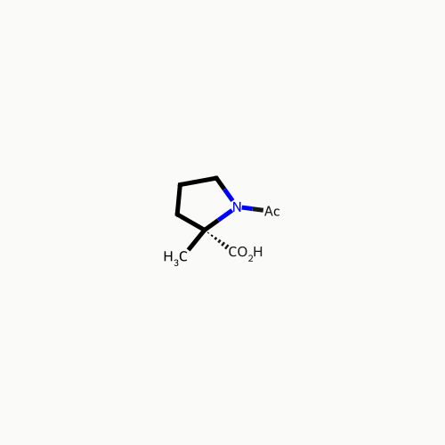 CC(=O)N1CCC[C@@]1(C)C(=O)O